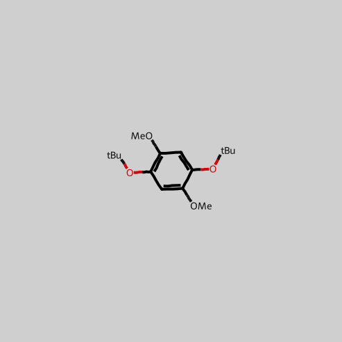 COc1cc(OC(C)(C)C)c(OC)cc1OC(C)(C)C